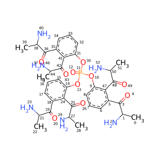 CC(N)C(=O)c1cccc(OP(=O)(Oc2cccc(C(=O)C(C)N)c2C(=O)C(C)N)Oc2cccc(C(=O)C(C)N)c2C(=O)C(C)N)c1C(=O)C(C)N